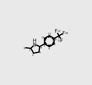 CC1CCC(c2ccc(C(F)(F)F)cc2)N1